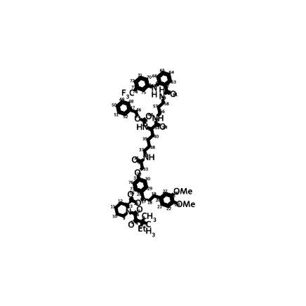 CCC(C)(C)C(=O)C(=O)N1CCCC[C@H]1C(=O)O[C@H](CCc1ccc(OC)c(OC)c1)c1ccc(OCC(=O)NCCCCC(NC(=O)OCc2ccccc2)C(=O)NCCCNC(=O)c2ccccc2Nc2cccc(C(F)(F)F)c2)cc1